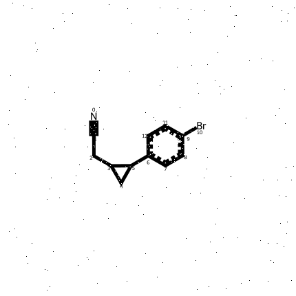 N#CCC1CC1c1ccc(Br)cc1